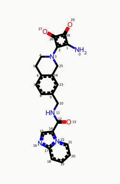 Nc1c(N2CCc3ccc(CNC(=O)c4cnc5ccccn45)cc3C2)c(=O)c1=O